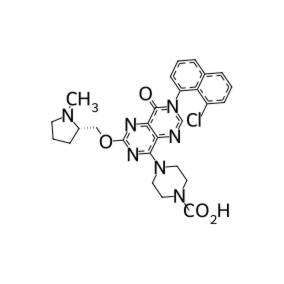 CN1CCC[C@H]1COc1nc(N2CCN(C(=O)O)CC2)c2ncn(-c3cccc4cccc(Cl)c34)c(=O)c2n1